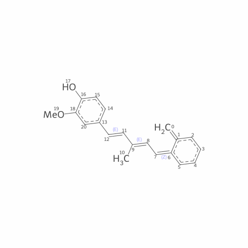 C=c1cccc/c1=C/C=C(C)/C=C/c1ccc(O)c(OC)c1